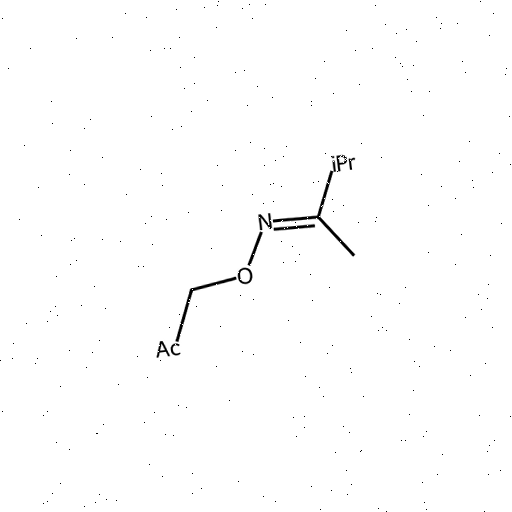 CC(=O)CON=C(C)C(C)C